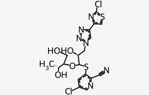 C[C@@H](O)C(CO)OC(Sc1cc(Cl)cnc1C#N)[C@@H](O)Cn1cc(-c2csc(Cl)n2)nn1